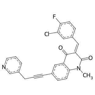 CN1C(=O)/C(=C/c2ccc(F)c(Cl)c2)C(=O)c2cc(C#CCc3cccnc3)ccc21